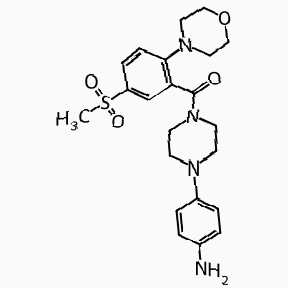 CS(=O)(=O)c1ccc(N2CCOCC2)c(C(=O)N2CCN(c3ccc(N)cc3)CC2)c1